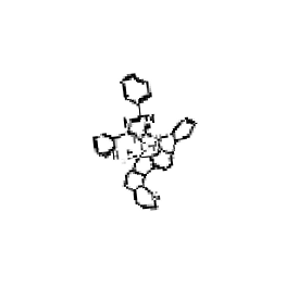 CC1(C)c2ccc3cccnc3c2-c2ccc3c4ccccc4n(-c4nc(-c5ccccc5)nc(-c5ccccc5)n4)c3c21